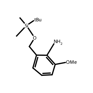 COc1cccc(CO[Si](C)(C)C(C)(C)C)c1N